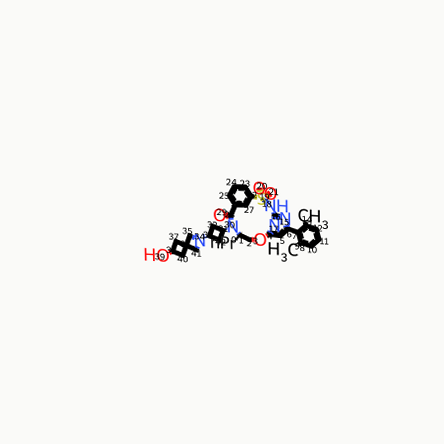 CCC[C@@H]1COc2cc(-c3c(C)cccc3C)nc(n2)NS(=O)(=O)c2cccc(c2)C(=O)N1[C@H]1C[C@@H](N2CC3(CC(O)C3)C2)C1